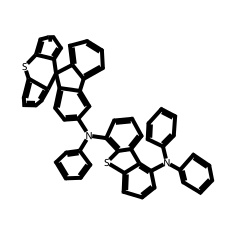 c1ccc(N(c2ccc3c(c2)-c2ccccc2C32c3ccccc3Sc3ccccc32)c2cccc3c2sc2cccc(N(c4ccccc4)c4ccccc4)c23)cc1